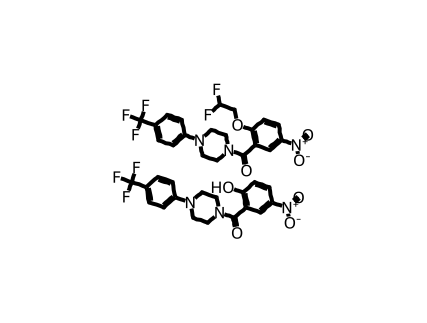 O=C(c1cc([N+](=O)[O-])ccc1O)N1CCN(c2ccc(C(F)(F)F)cc2)CC1.O=C(c1cc([N+](=O)[O-])ccc1OCC(F)F)N1CCN(c2ccc(C(F)(F)F)cc2)CC1